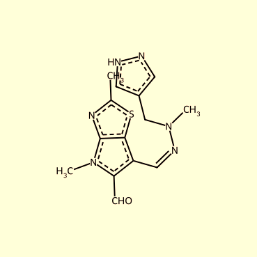 Cc1nc2c(s1)c(/C=N\N(C)Cc1cn[nH]c1)c(C=O)n2C